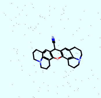 N#CC1c2cc3c4c(c2Oc2c1cc1c5c2CCCN5CCC1)CCCN4CCC3